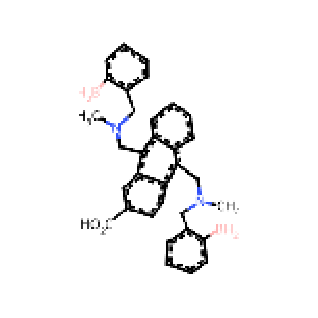 Bc1ccccc1CN(C)Cc1c2ccccc2c(CN(C)Cc2ccccc2B)c2cc(C(=O)O)ccc12